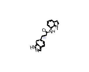 Cn1ccc2cccc(NC(=O)/C=C/c3ccc4cn[nH]c4c3)c21